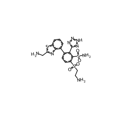 NCCS(=O)(=O)c1ccc(-c2cccc3sc(CN)nc23)c(-c2nn[nH]n2)c1S(N)(=O)=O